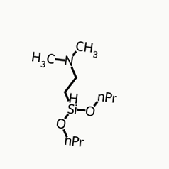 CCCO[SiH](CCN(C)C)OCCC